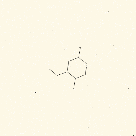 CCC1CC(C)CCC1C